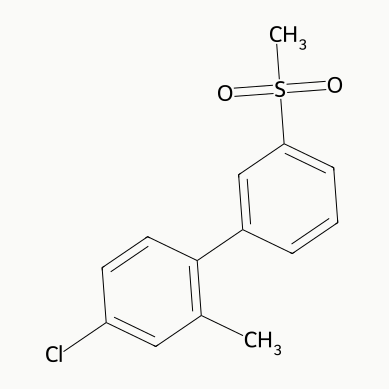 Cc1cc(Cl)ccc1-c1cccc(S(C)(=O)=O)c1